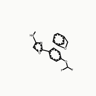 CNc1coc(-c2ccc(OC(F)F)cc2)n1.c1cc2cc(c1)OC2